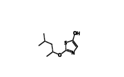 CC(C)CC(C)Oc1ncc(O)s1